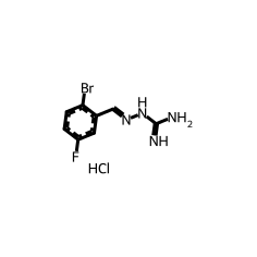 Cl.N=C(N)N/N=C/c1cc(F)ccc1Br